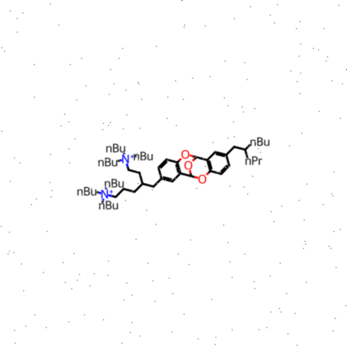 CCCCC(CCC)Cc1ccc2c(c1)C1Oc3ccc(CC(CCC[N+](CCCC)(CCCC)CCCC)CC[N+](CCCC)(CCCC)CCCC)cc3C(O2)O1